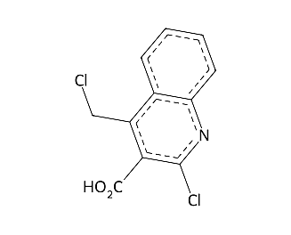 O=C(O)c1c(Cl)nc2ccccc2c1CCl